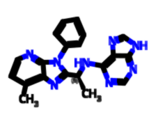 Cc1ccnc2c1nc([C@H](C)Nc1ncnc3[nH]cnc13)n2-c1ccccc1